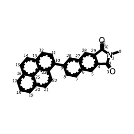 CN1C(=O)c2cc3ccc(-c4ccc5ccc6cccc7ccc4c5c67)cc3cc2C1=O